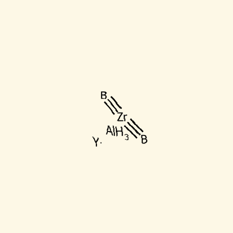 [AlH3].[B]#[Zr]#[B].[Y]